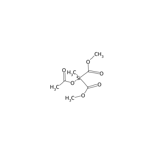 COC(=O)[Si](C)(OC(C)=O)C(=O)OC